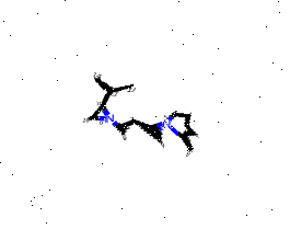 C=C1CCCN1CCCN1CC1C(C)C